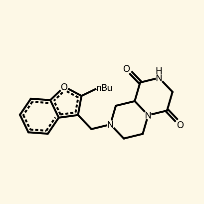 CCCCc1oc2ccccc2c1CN1CCN2C(=O)CNC(=O)C2C1